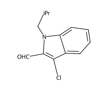 CC(C)Cn1c(C=O)c(Cl)c2ccccc21